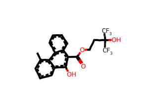 Cc1cccc2c(O)c(C(=O)OCCC(O)(C(F)(F)F)C(F)(F)F)c3ccccc3c12